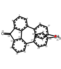 Cc1ccc(-c2cccc3c2-c2c(cccc2-c2ccc(C)cc2)C3=O)cc1